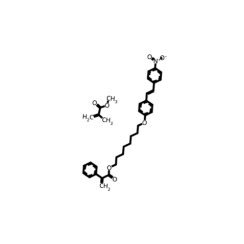 C=C(C(=O)OCCCCCCCCOc1ccc(C=Cc2ccc([N+](=O)[O-])cc2)cc1)c1ccccc1.C=C(C)C(=O)OC